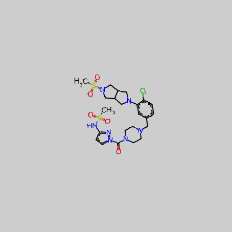 CS(=O)(=O)Nc1ccn(C(=O)N2CCN(Cc3ccc(Cl)c(N4CC5CN(S(C)(=O)=O)CC5C4)c3)CC2)n1